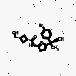 C#CC(C)(c1ccc(Br)cc1)c1csc(NC(=O)[C@H]2C[C@@H](CO)C2)n1